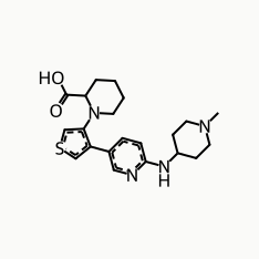 CN1CCC(Nc2ccc(-c3cscc3N3CCCCC3C(=O)O)cn2)CC1